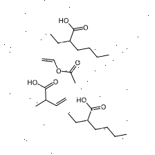 C=CC(C)C(=O)O.C=COC(C)=O.CCCCC(CC)C(=O)O.CCCCC(CC)C(=O)O